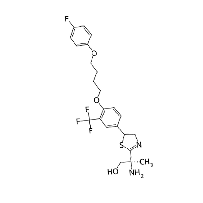 C[C@](N)(CO)C1=NCC(c2ccc(OCCCCOc3ccc(F)cc3)c(C(F)(F)F)c2)S1